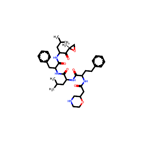 CC(C)CC(NC(=O)C(CCc1ccccc1)NC(=O)CC1CNCCO1)C(=O)NC(Cc1ccccc1)C(=O)NC(CC(C)C)C(=O)[C@@]1(C)CO1